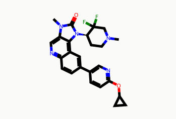 CN1CC[C@@H](n2c(=O)n(C)c3cnc4ccc(-c5ccc(OC6CC6)nc5)cc4c32)C(F)(F)C1